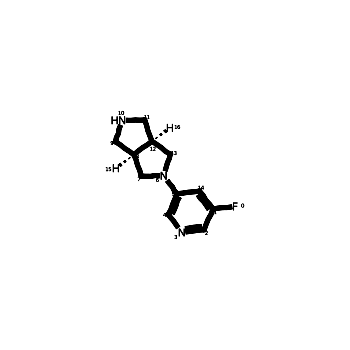 Fc1cncc(N2C[C@H]3CNC[C@H]3C2)c1